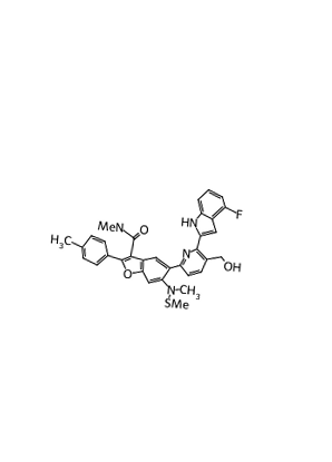 CNC(=O)c1c(-c2ccc(C)cc2)oc2cc(N(C)SC)c(-c3ccc(CO)c(-c4cc5c(F)cccc5[nH]4)n3)cc12